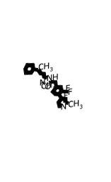 C=N/C(=C\C=C(/C)c1ccccc1)NC(=O)Cc1ccc(-c2ccnc(C)c2)c(C(F)(F)F)c1